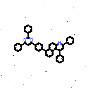 c1ccc(-c2cc(-c3ccc(-c4cccc5c4ccc4nc(-c6ccccc6)cc(-c6ccccc6)c45)cc3)nc(-c3ccccc3)n2)cc1